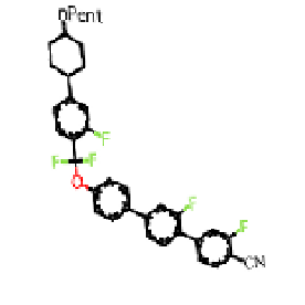 CCCCCC1CCC(c2ccc(C(F)(F)Oc3ccc(-c4ccc(-c5ccc(C#N)c(F)c5)c(F)c4)cc3)c(F)c2)CC1